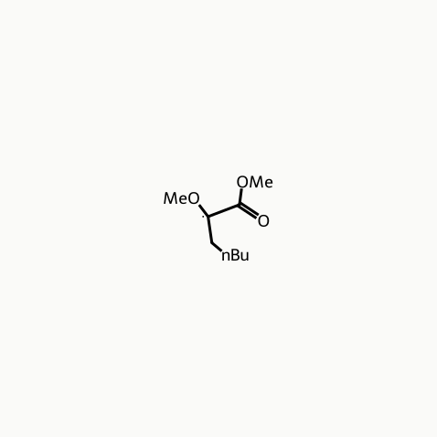 CCCCC[C](OC)C(=O)OC